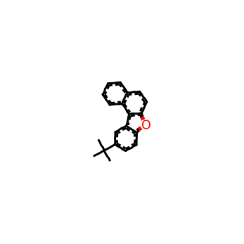 CC(C)(C)c1ccc2oc3ccc4ccccc4c3c2c1